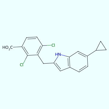 O=C(O)c1ccc(Cl)c(Cc2cc3ccc(C4CC4)cc3[nH]2)c1Cl